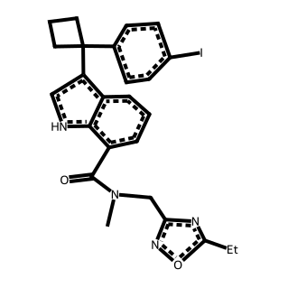 CCc1nc(CN(C)C(=O)c2cccc3c(C4(c5ccc(I)cc5)CCC4)c[nH]c23)no1